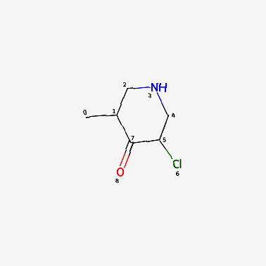 CC1CNCC(Cl)C1=O